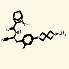 CN1CC2(C1)CN(c1ccc(C[C@@H](C#N)NC(=O)C3C4CCC(C4)N3C)c(F)c1)C2